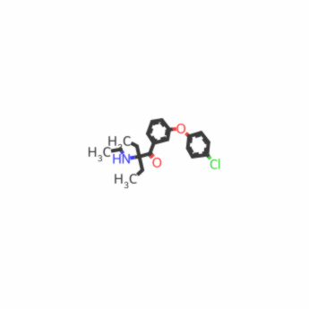 CCNC(CC)(CC)C(=O)c1cccc(Oc2ccc(Cl)cc2)c1